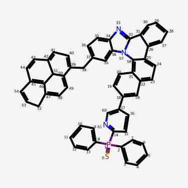 S=P(c1ccccc1)(c1ccccc1)c1ccc(-c2ccc3c(ccc4c5ccccc5c5nc6ccc(CC7=CC=C8C=CC9=C%10C(=CC=C7C8%10)CC=C9)cc6n5c34)c2)cn1